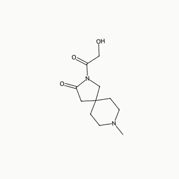 CN1CCC2(CC1)CC(=O)N(C(=O)CO)C2